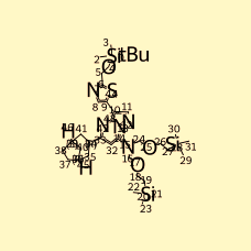 CC(C)(C)[Si](C)(C)OCc1ncc(-c2cnn3c(N(COCC[Si](C)(C)C)COCC[Si](C)(C)C)cc([C@H]4C[C@@H]5CC[C@@H](C5)C4)nc23)s1